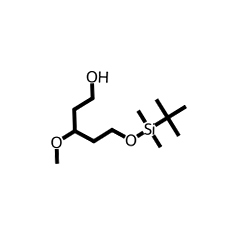 COC(CCO)CCO[Si](C)(C)C(C)(C)C